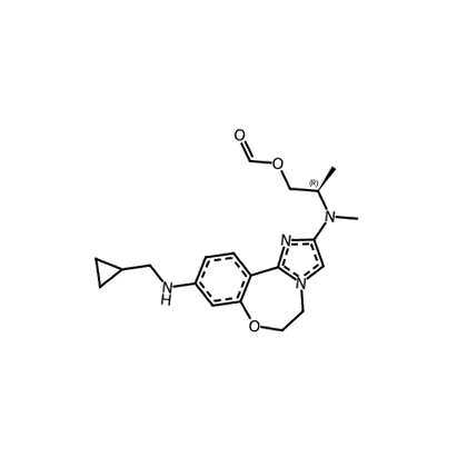 C[C@H](COC=O)N(C)c1cn2c(n1)-c1ccc(NCC3CC3)cc1OCC2